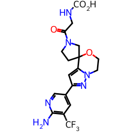 Nc1ncc(-c2cc3n(n2)CCOC32CCN(C(=O)CNC(=O)O)C2)cc1C(F)(F)F